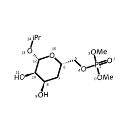 COP(=O)(OC)OC[C@@H]1C[C@@H](O)[C@@H](O)[C@H](OC(C)C)O1